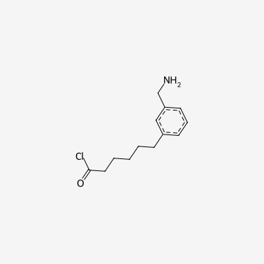 NCc1cccc(CCCCCC(=O)Cl)c1